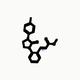 COC(=O)/C=C/c1ccccc1N1CCN(c2ccc(C)cc2)C1=O